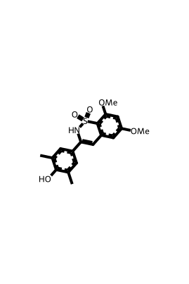 COc1cc2c(c(OC)c1)S(=O)(=O)NC(c1cc(C)c(O)c(C)c1)=C2